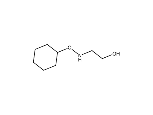 OCCNOC1CCCCC1